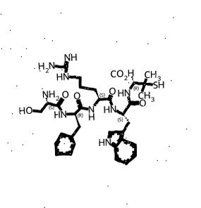 CC(C)(S)[C@H](NC(=O)[C@H](Cc1c[nH]c2ccccc12)NC(=O)[C@H](CCCNC(=N)N)NC(=O)[C@@H](Cc1ccccc1)NC(=O)[C@@H](N)CO)C(=O)O